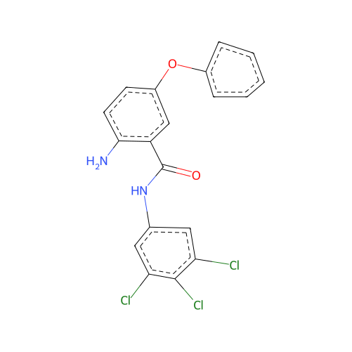 Nc1ccc(Oc2ccccc2)cc1C(=O)Nc1cc(Cl)c(Cl)c(Cl)c1